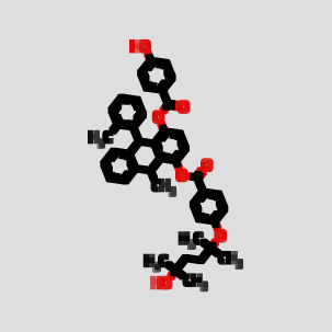 Cc1ccccc1C1c2ccccc2C(C)c2c(OC(=O)c3ccc(OC(C)(C)CCC(C)(C)O)cc3)ccc(OC(=O)c3ccc(O)cc3)c21